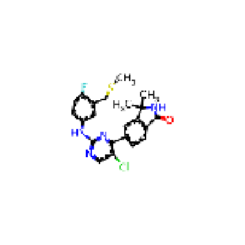 CSCc1cc(Nc2ncc(Cl)c(-c3ccc4c(c3)C(C)(C)NC4=O)n2)ccc1F